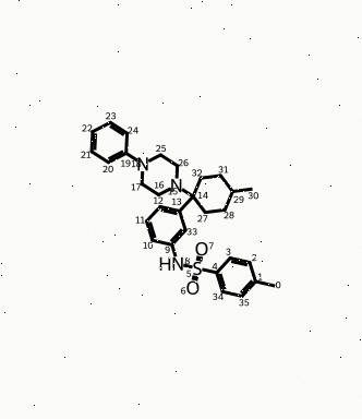 Cc1ccc(S(=O)(=O)Nc2cccc(C3(N4CCN(c5ccccc5)CC4)CCC(C)CC3)c2)cc1